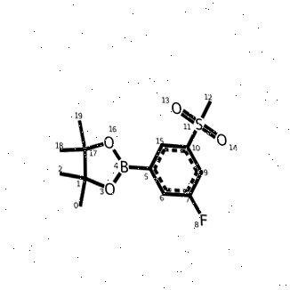 CC1(C)OB(c2cc(F)cc(S(C)(=O)=O)c2)OC1(C)C